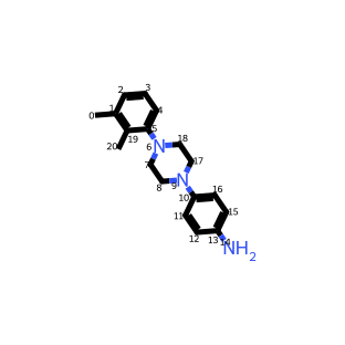 Cc1cccc(N2CCN(c3ccc(N)cc3)CC2)c1C